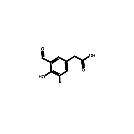 O=Cc1cc(CC(=O)O)cc(I)c1O